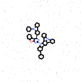 c1ccc(-c2ccc3c(c2)c2cc4c5ccccc5n5c6ccccc6c(c2n3-c2nc(-c3ccc6c7ccccc7n(-c7ccccc7)c6c3)c3c(n2)oc2ccccc23)c45)cc1